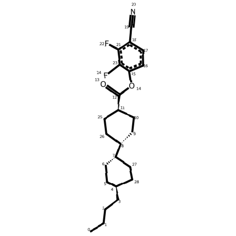 CCCC[C@H]1CC[C@H]([C@H]2CC[C@H](C(=O)Oc3ccc(C#N)c(F)c3F)CC2)CC1